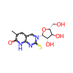 Cc1cc2cn([C@@H]3O[C@H](CO)C(O)[C@@H]3O)c(=S)nc2[nH]c1=O